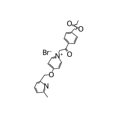 Cc1cccc(COc2cc[n+](CC(=O)c3ccc(S(C)(=O)=O)cc3)cc2)n1.[Br-]